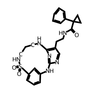 O=C(NCCc1cnc2nc1NCCCNS(=O)(=O)c1cccc(c1)N2)C1(c2ccccc2)CC1